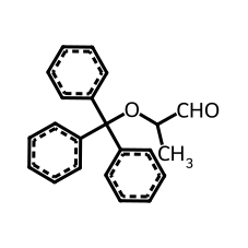 CC(C=O)OC(c1ccccc1)(c1ccccc1)c1ccccc1